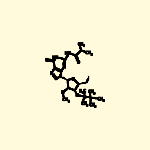 COC1[C@@H](O[Si](C)(C)C(C)(C)C)[C@@H](CI)O[C@H]1n1cnc2c(=O)[nH]c(NC(=O)C(C)C)nc21